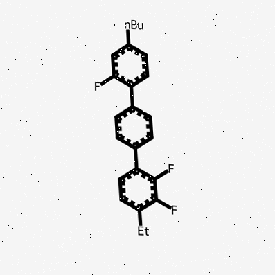 CCCCc1ccc(-c2ccc(-c3ccc(CC)c(F)c3F)cc2)c(F)c1